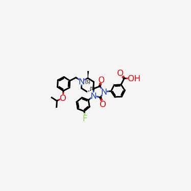 CC(C)Oc1cccc(CN2CC[C@]3(C[C@@H]2C)C(=O)N(c2cccc(C(=O)O)c2)C(=O)N3c2cccc(F)c2)c1